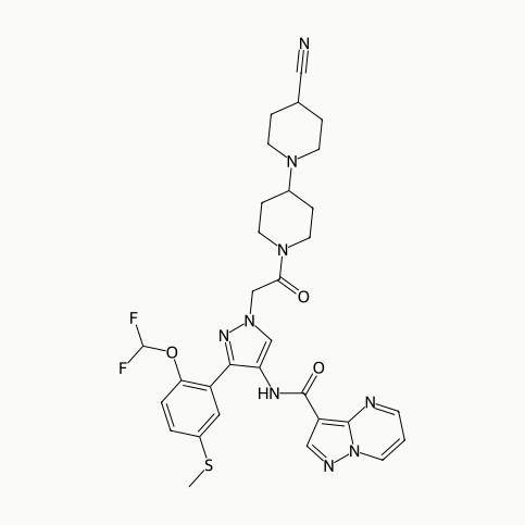 CSc1ccc(OC(F)F)c(-c2nn(CC(=O)N3CCC(N4CCC(C#N)CC4)CC3)cc2NC(=O)c2cnn3cccnc23)c1